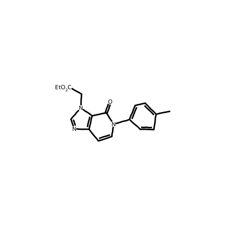 CCOC(=O)Cn1cnc2ccn(-c3ccc(C)cc3)c(=O)c21